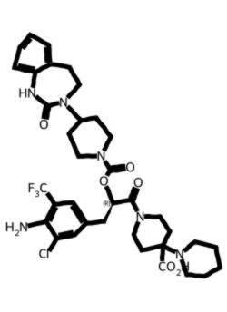 Nc1c(Cl)cc(C[C@@H](OC(=O)N2CCC(N3CCc4ccccc4NC3=O)CC2)C(=O)N2CCC(C(=O)O)(N3CCCCC3)CC2)cc1C(F)(F)F